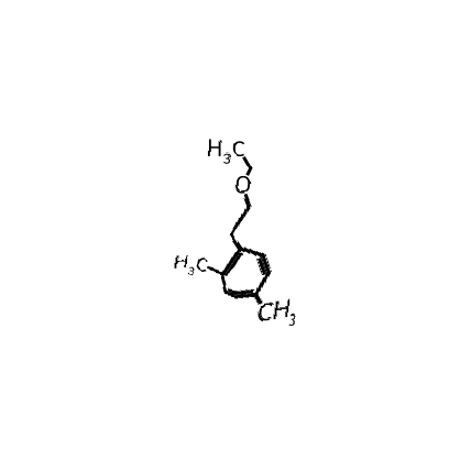 CCOCCc1ccc(C)cc1C